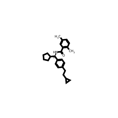 Cc1ccc(C)c(C(=O)N[C@@H](c2ccc(CCC3CC3)cc2)C2CCCC2)c1